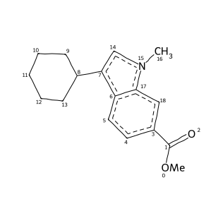 COC(=O)c1ccc2c(C3CCCCC3)cn(C)c2c1